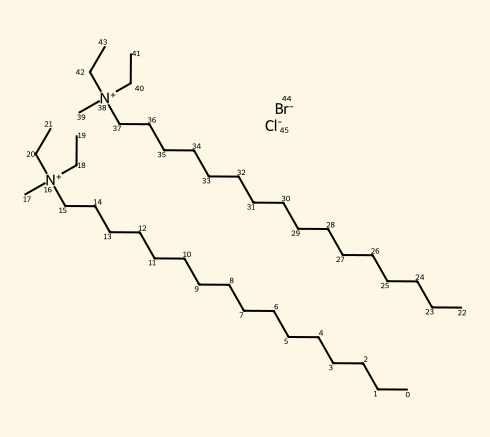 CCCCCCCCCCCCCCCC[N+](C)(CC)CC.CCCCCCCCCCCCCCCC[N+](C)(CC)CC.[Br-].[Cl-]